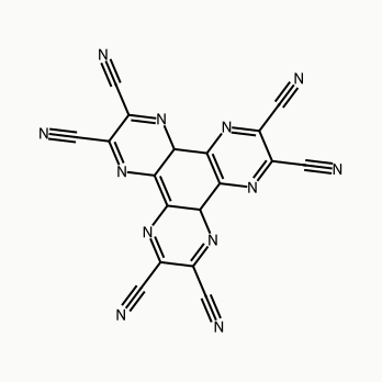 N#CC1=NC2=C3N=C(C#N)C(C#N)=NC3c3nc(C#N)c(C#N)nc3C2N=C1C#N